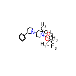 CC(C)(C)OC(=O)N1CCC(N2CCCC(c3ccccc3)C2)CC1(C)C